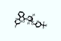 O=C(c1ccccc1-c1ncc(F)cn1)N1C[C@H]2C[C@@H](Oc3ccc(C(F)(F)F)cn3)[C@@H]1C2